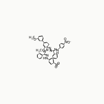 COC1=CC(c2cccc(OC)c2)=CCC1(N=NC(=NNc1ccc([N+](=O)[O-])cc1)c1ccccc1)N=NC(=NNc1ccc([N+](=O)[O-])cc1)c1ccccc1